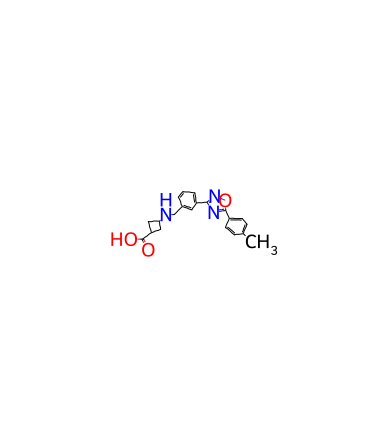 Cc1ccc(-c2nc(-c3cccc(CNC4CC(C(=O)O)C4)c3)no2)cc1